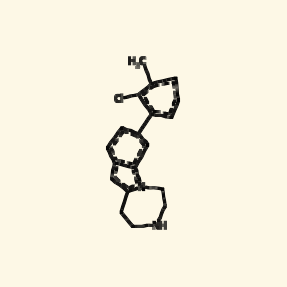 Cc1cccc(-c2ccc3cc4n(c3c2)CCNCC4)c1Cl